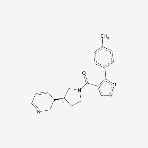 Cc1ccc(-c2oncc2C(=O)N2CC[C@@H](C3C=CC=NC3)C2)cc1